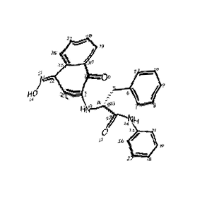 O=C1C(N[C@H](Cc2ccccc2)C(=O)Nc2ccccc2)=CC(=NO)c2ccccc21